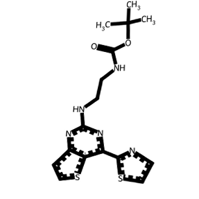 CC(C)(C)OC(=O)NCCNc1nc(-c2nccs2)c2sccc2n1